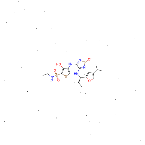 CCNS(=O)(=O)c1scc(Nc2n[s+]([O-])nc2N[C@H](CC)c2cc(C(C)C)co2)c1O